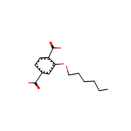 CCCCCCOc1cc(C(=O)O)ccc1C(=O)O